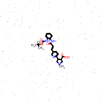 CN1CC(C(=O)O)C(c2ccc(C=CC(=O)Nc3ccccc3NC(=O)OC(C)(C)C)cn2)C1